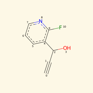 C#CC(O)c1cccnc1F